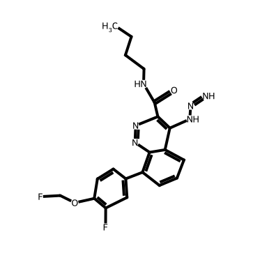 CCCCNC(=O)c1nnc2c(-c3ccc(OCF)c(F)c3)cccc2c1NN=N